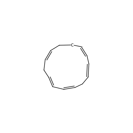 [C]1=CC=CCC=CC=CCC=CCC1